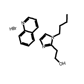 Br.CCCCn1ccnc1CCO.c1ccc2ncccc2c1